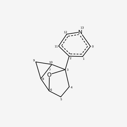 c1cc(C23CCC(O2)C2CC23)ccn1